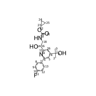 CC(C)(O)c1cc(-c2ccc(F)cc2)nc(C(O)CNC(=O)OC2CC2)c1